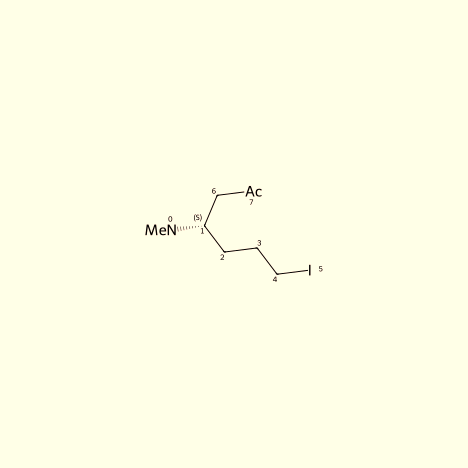 CN[C@@H](CCCI)CC(C)=O